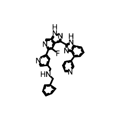 Fc1c(-c2cncc(CNCc3ccccc3)c2)ncc2[nH]nc(-c3nc4c(-c5cccnc5)cccc4[nH]3)c12